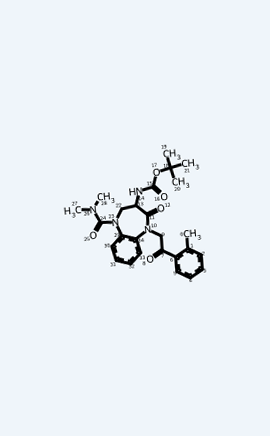 Cc1ccccc1C(=O)CN1C(=O)C(NC(=O)OC(C)(C)C)CN(C(=O)N(C)C)c2ccccc21